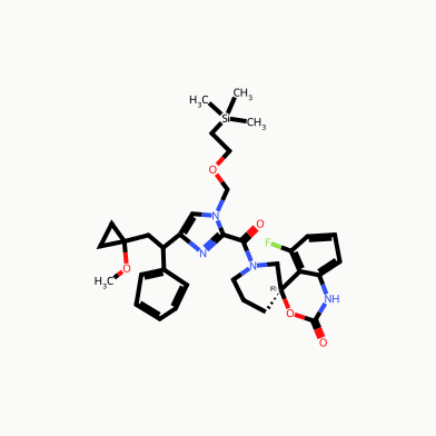 COC1(CC(c2ccccc2)c2cn(COCC[Si](C)(C)C)c(C(=O)N3CCC[C@@]4(C3)OC(=O)Nc3cccc(F)c34)n2)CC1